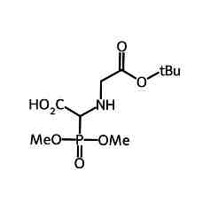 COP(=O)(OC)C(NCC(=O)OC(C)(C)C)C(=O)O